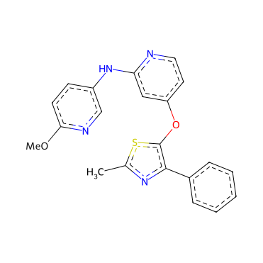 COc1ccc(Nc2cc(Oc3sc(C)nc3-c3ccccc3)ccn2)cn1